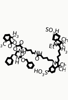 CC[N+]1=C(CCCCCC2N(CCCCCC(=O)NCCCC[C@H](NC(=O)[C@H](Cc3ccccc3)NC(=O)OCc3ccccc3)C(=O)COC(=O)c3c(C)cccc3C)c3cc(S(=O)(=O)O)ccc3C2(C)C)C(C)(C)c2cc(S(=O)(=O)O)ccc21